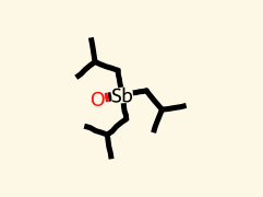 CC(C)[CH2][Sb](=[O])([CH2]C(C)C)[CH2]C(C)C